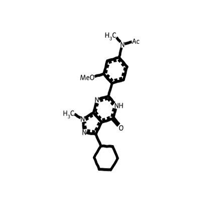 COc1cc(N(C)C(C)=O)ccc1-c1nc2c(c(C3CCCCC3)nn2C)c(=O)[nH]1